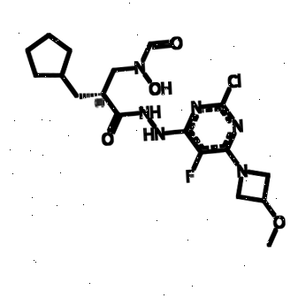 COC1CN(c2nc(Cl)nc(NNC(=O)[C@H](CC3CCCC3)CN(O)C=O)c2F)C1